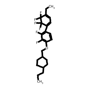 CCCC1CCC(COc2ccc(C3=CC=C(CC)C(F)(F)C3(F)F)c(F)c2F)CC1